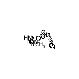 CN(c1ncnc2[nH]ccc12)[C@H]1CC[C@H](CS(=O)(=O)N2CCC(COCc3cccnc3)C2)CC1